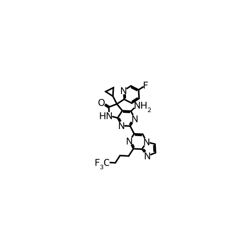 Nc1nc(-c2cn3ccnc3c(CCCC(F)(F)F)n2)nc2c1C(c1ccc(F)cn1)(C1CC1)C(=O)N2